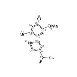 COc1cc(-n2cc(C(F)F)cn2)c(Br)cc1Cl